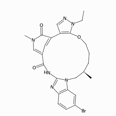 CCn1ncc2c1OCCC[C@@H](C)Cn1c(nc3ccc(Br)cc31)NC(=O)c1cc-2c(=O)n(C)c1